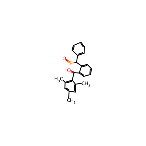 Cc1cc(C)c(C(=O)c2ccccc2C(P=O)c2ccccc2)c(C)c1